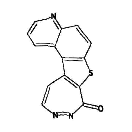 O=c1nnccc2c1sc1ccc3ncccc3c12